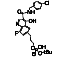 CC(C)(C)OP(=O)(O)OCCCc1cc(F)c2ncc(C(=O)NCc3ccc(Cl)cc3)c(O)c2c1